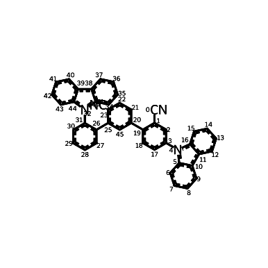 N#Cc1cc(-n2c3ccccc3c3ccccc32)ccc1-c1ccc(C#N)c(-c2ccccc2-n2c3ccccc3c3ccccc32)c1